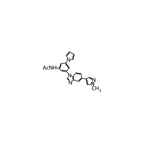 CC(=O)Nc1cc(-n2cccc2)cc(-n2cnc3cc(-c4cnn(C)c4)ccc32)c1